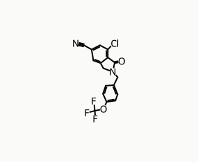 N#Cc1cc(Cl)c2c(c1)CN(Cc1ccc(OC(F)(F)F)cc1)C2=O